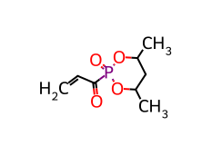 C=CC(=O)P1(=O)OC(C)CC(C)O1